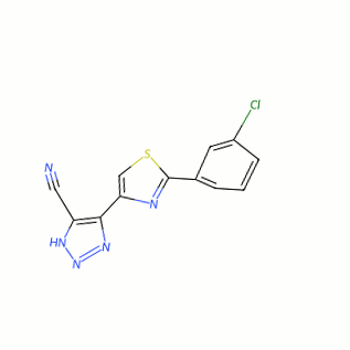 N#Cc1[nH]nnc1-c1csc(-c2cccc(Cl)c2)n1